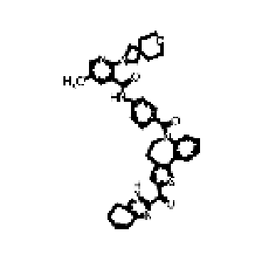 Cc1cnc(N2CC3(CCOCC3)C2)c(C(=O)Nc2ccc(C(=O)N3CCc4cc(C(=O)c5nc6c([nH]5)CCC=C6)sc4-c4ccccc43)cc2)c1